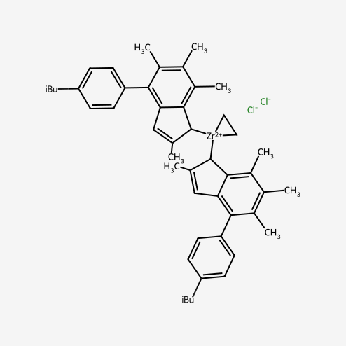 CCC(C)c1ccc(-c2c(C)c(C)c(C)c3c2C=C(C)[CH]3[Zr+2]2([CH]3C(C)=Cc4c(-c5ccc(C(C)CC)cc5)c(C)c(C)c(C)c43)[CH2][CH2]2)cc1.[Cl-].[Cl-]